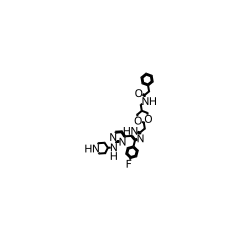 O=C(Cc1ccccc1)NCC1COC(Cc2nc(-c3ccc(F)cc3)c(-c3ccnc(NC4CCNCC4)n3)[nH]2)OC1